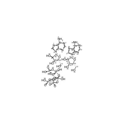 Nc1ncnc2c1ncn2[C@@H]1O[C@H](CO)[C@@H](O)[C@H]1O.Nc1ncnc2c1ncn2[C@@H]1O[C@H](CO)[C@@H](O)[C@H]1O.O=P(O)(O)OP(=O)(O)OP(=O)(O)OP(=O)(O)OP(=O)(O)O